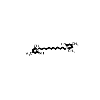 Cc1cc(C)n(CCCCCCCCCCCCn2c(C)cc(C)cc2=N)c(=N)c1